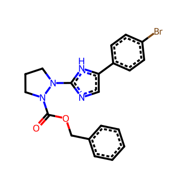 O=C(OCc1ccccc1)N1CCCN1c1ncc(-c2ccc(Br)cc2)[nH]1